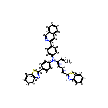 C=C/C(=C\C=C\c1nc2ccccc2s1)N(c1ccc(-c2cc3ccccc3cn2)cc1)c1ccc(-c2nc3c(s2)C=CCC3)cc1